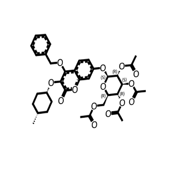 CC(=O)OC[C@H]1O[C@@H](Oc2ccc3c(OCc4ccccc4)c(O[C@H]4CC[C@@H](C)CC4)c(=O)oc3c2)[C@H](OC(C)=O)[C@@H](OC(C)=O)[C@@H]1OC(C)=O